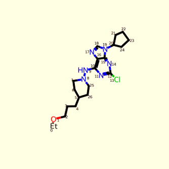 CCOCCCC1CCN(Nc2nc(Cl)nc3c2ncn3C2CCCC2)CC1